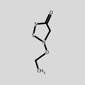 CCON1CC(=O)SS1